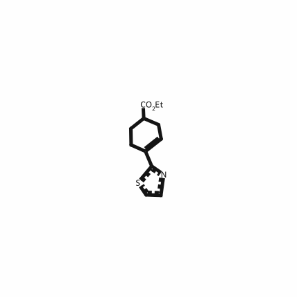 CCOC(=O)C1CC=C(c2nccs2)CC1